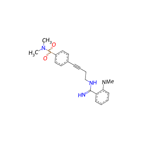 CNc1ccccc1C(=N)NCCC#Cc1ccc(S(=O)(=O)N(C)C)cc1